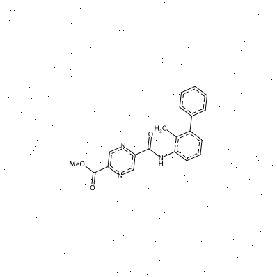 COC(=O)c1cnc(C(=O)Nc2cccc(-c3ccccc3)c2C)cn1